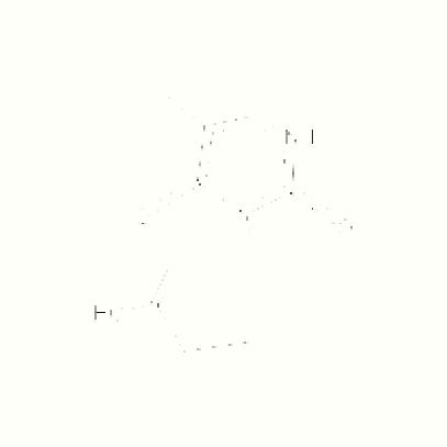 CCC(=O)O.Cc1c[nH]c(=O)[nH]c1=O